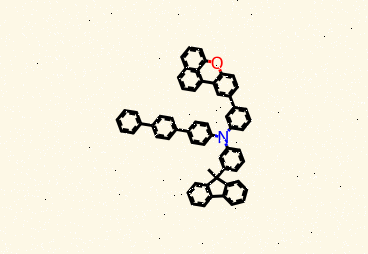 CC1(c2cccc(N(c3ccc(-c4ccc(-c5ccccc5)cc4)cc3)c3cccc(-c4ccc5c(c4)-c4cccc6cccc(c46)O5)c3)c2)c2ccccc2-c2ccccc21